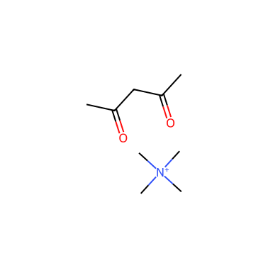 CC(=O)CC(C)=O.C[N+](C)(C)C